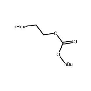 CCCCCCCCOC(=O)OCCCC